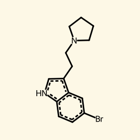 Brc1ccc2[nH]cc(CCN3CCCC3)c2c1